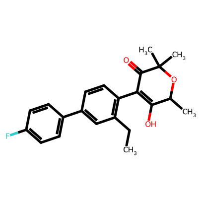 CCc1cc(-c2ccc(F)cc2)ccc1C1=C(O)C(C)OC(C)(C)C1=O